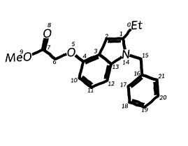 CCc1cc2c(OCC(=O)OC)cccc2n1Cc1ccccc1